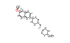 CCC[C@H]1CC[C@H](CCC2CCC(c3ccc4cc(OC(F)(F)F)ccc4c3)CC2)CC1